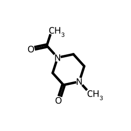 CC(=O)N1CCN(C)C(=O)C1